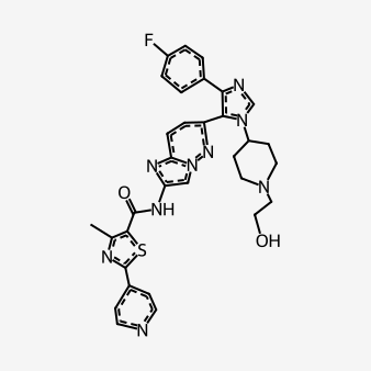 Cc1nc(-c2ccncc2)sc1C(=O)Nc1cn2nc(-c3c(-c4ccc(F)cc4)ncn3C3CCN(CCO)CC3)ccc2n1